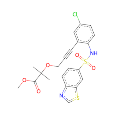 COC(=O)C(C)(C)OCC#Cc1cc(Cl)ccc1NS(=O)(=O)c1ccc2ncsc2c1